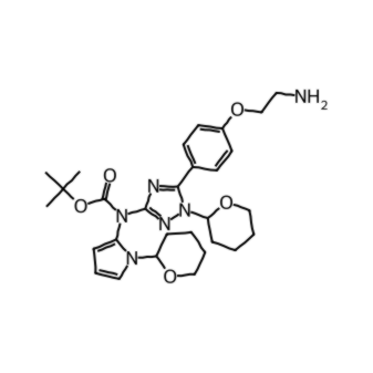 CC(C)(C)OC(=O)N(c1nc(-c2ccc(OCCN)cc2)n(C2CCCCO2)n1)c1cccn1C1CCCCO1